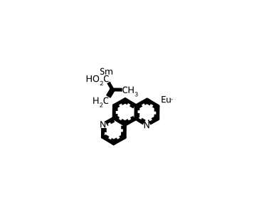 C=C(C)C(=O)O.[Eu].[Sm].c1cnc2c(c1)ccc1ncccc12